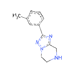 Cc1cccc(-c2nc3n(n2)CCNC3)c1